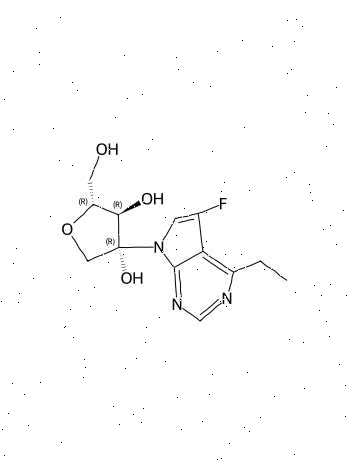 CCc1ncnc2c1c(F)cn2[C@@]1(O)CO[C@H](CO)[C@H]1O